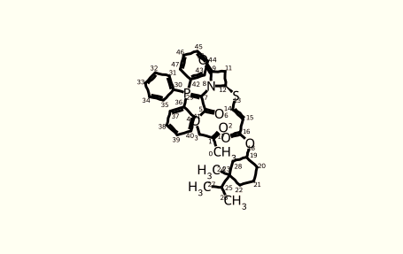 CC(=O)COC(=O)C(N1C(=O)C[C@H]1SC=CC(=O)OC1CCCC(C)(C(C)C)C1)=P(c1ccccc1)(c1ccccc1)c1ccccc1